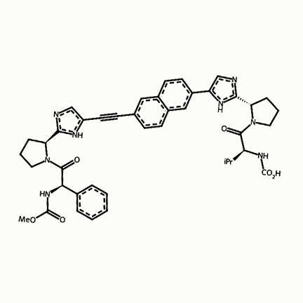 COC(=O)N[C@@H](C(=O)N1CCC[C@H]1c1ncc(C#Cc2ccc3cc(-c4cnc([C@@H]5CCCN5C(=O)[C@@H](NC(=O)O)C(C)C)[nH]4)ccc3c2)[nH]1)c1ccccc1